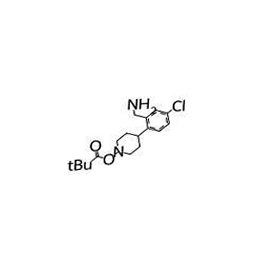 CC(C)(C)C(=O)ON1CCC(c2ccc(Cl)cc2CN)CC1